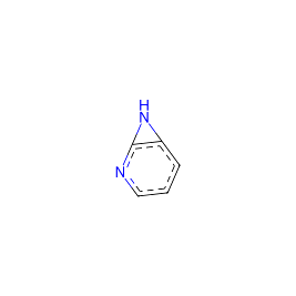 c1cnc2c(c1)N2